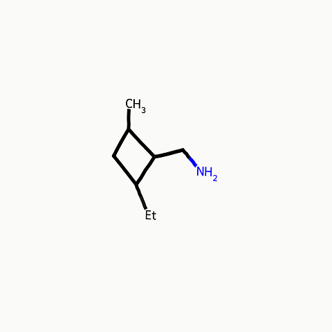 CCC1CC(C)C1CN